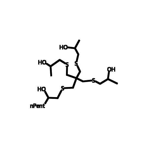 CCCCCC(O)CSCC(CSCC(C)O)(CSCC(C)O)CSCC(C)O